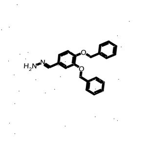 N/N=C/c1ccc(OCc2ccccc2)c(OCc2ccccc2)c1